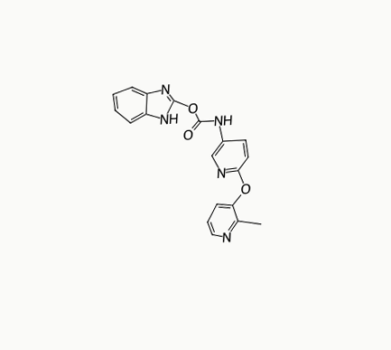 Cc1ncccc1Oc1ccc(NC(=O)Oc2nc3ccccc3[nH]2)cn1